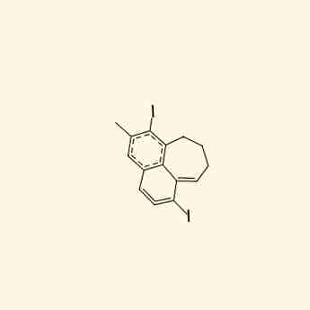 Cc1cc2c3c(c1I)CCCC=C3C(I)=C=C2